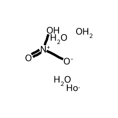 O.O.O.O=[N+]([O-])O.[Ho]